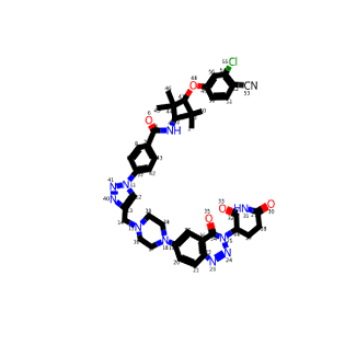 CC1(C)C(NC(=O)c2ccc(-n3cc(CN4CCN(c5ccc6nnn(C7CCC(=O)NC7=O)c(=O)c6c5)CC4)nn3)cc2)C(C)(C)C1Oc1ccc(C#N)c(Cl)c1